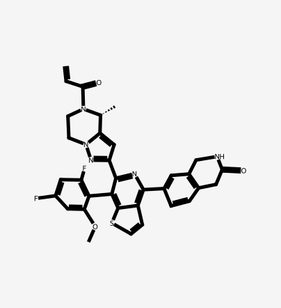 C=CC(=O)N1CCn2nc(-c3nc(-c4ccc5c(c4)CNC(=O)C5)c4ccsc4c3-c3c(F)cc(F)cc3OC)cc2[C@H]1C